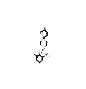 Cc1ccc(N2CCN(C(=O)Nc3c(C)cccc3C(C)C)CC2)nc1